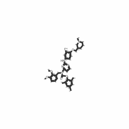 COc1cccc(CN(C(=O)Oc2c(C)cc(C)cc2C)c2ccnc(Nc3ccc(OCC4CCCN(C)C4)c(F)c3)n2)c1OC